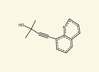 CC(C)(O)C#Cc1cccc2cccnc12